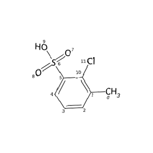 Cc1cccc(S(=O)(=O)O)c1Cl